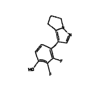 Oc1ccc(-c2cnn3c2CCC3)c(F)c1F